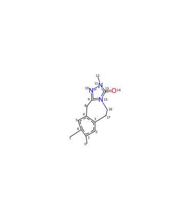 Cc1cc2c(cc1C)Cc1nn(C)c(=O)n1CC2